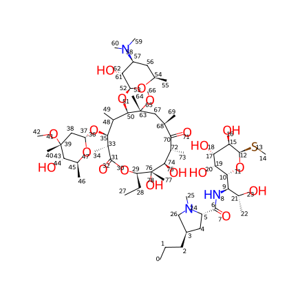 CCC[C@@H]1C[C@@H](C(=O)N[C@@H]([C@H]2O[C@H](SC)[C@H](O)[C@@H](O)[C@H]2O)[C@@H](C)O)N(C)C1.CC[C@H]1OC(=O)[C@H](C)[C@@H](O[C@H]2C[C@@](C)(OC)[C@@H](O)[C@H](C)O2)C(C)[C@@H](O[C@@H]2O[C@H](C)C[C@H](N(C)C)[C@H]2O)[C@](C)(OC)C[C@@H](C)C(=O)[C@H](C)[C@@H](O)[C@]1(C)O